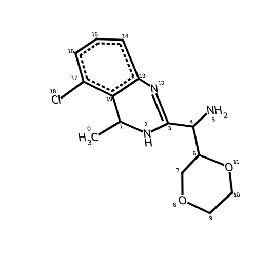 CC1NC(C(N)C2COCCO2)=Nc2cccc(Cl)c21